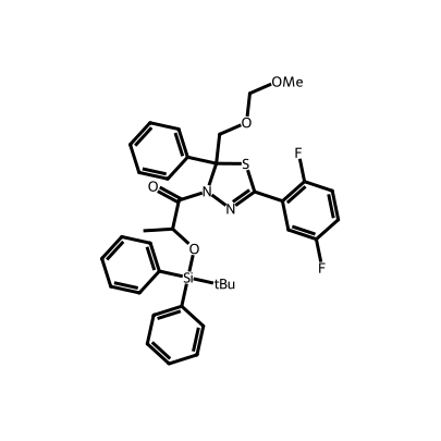 COCOCC1(c2ccccc2)SC(c2cc(F)ccc2F)=NN1C(=O)C(C)O[Si](c1ccccc1)(c1ccccc1)C(C)(C)C